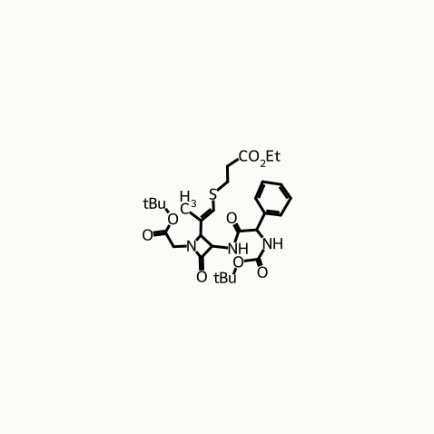 CCOC(=O)CCSC=C(C)C1C(NC(=O)C(NC(=O)OC(C)(C)C)c2ccccc2)C(=O)N1CC(=O)OC(C)(C)C